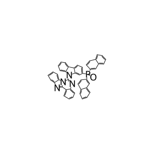 O=P(c1ccc2ccccc2c1)(c1ccc2ccccc2c1)c1ccc2c3ccccc3n(-c3nc4ccccc4c4nc5ccccc5n34)c2c1